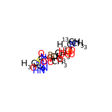 CC(=O)[C@H](Cc1cnc[nH]1)NSC1CC(=O)N(CCOC(=O)C(C)(C)CC(C)(Br)C(=O)OCCOP(=O)(O)OCC[N+](C)(C)[13CH3])C1=O